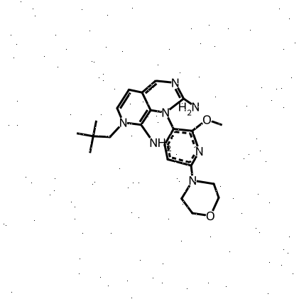 COc1nc(N2CCOCC2)ccc1N1C(N)=NC=C2C=CN(CC(C)(C)C)C(N)=C21